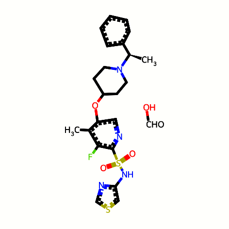 Cc1c(OC2CCN([C@H](C)c3ccccc3)CC2)cnc(S(=O)(=O)Nc2cscn2)c1F.O=CO